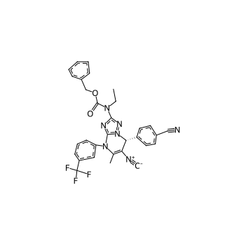 [C-]#[N+]C1=C(C)N(c2cccc(C(F)(F)F)c2)c2nc(N(CC)C(=O)OCc3ccccc3)nn2[C@@H]1c1ccc(C#N)cc1